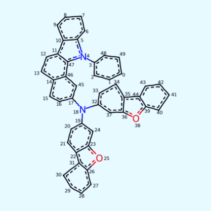 c1ccc(-n2c3ccccc3c3ccc4ccc(N(c5ccc6c(c5)oc5ccccc56)c5ccc6c(c5)oc5ccccc56)cc4c32)cc1